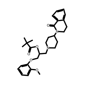 COc1ccccc1OCC(CN1CCC(N2CCc3ccccc3C2=O)CC1)OC(=O)C(C)(C)C